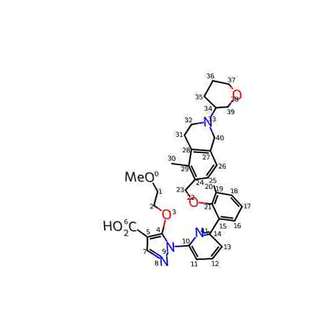 COCCOc1c(C(=O)O)cnn1-c1cccc(-c2cccc(C)c2OCc2ccc3c(c2C)CCN(C2CCCOC2)C3)n1